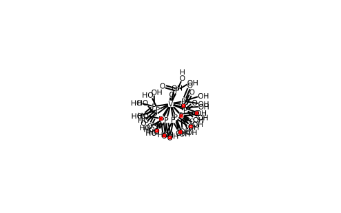 O=[P](O)(O)[V](=[O])(=[O])([OH])([P](=O)(O)O)([P](=O)(O)O)([P](=O)(O)O)([P](=O)(O)O)([P](=O)(O)O)([P](=O)(O)O)([P](=O)(O)O)([P](=O)(O)O)([P](=O)(O)O)([P](=O)(O)O)([P](=O)(O)O)([P](=O)(O)O)[P](=O)(O)O